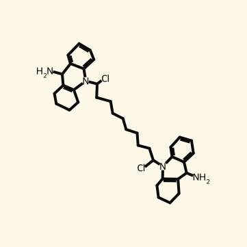 NC1C2=C(CCCC2)N(C(Cl)CCCCCCCCC(Cl)N2C3=C(CCCC3)C(N)c3ccccc32)c2ccccc21